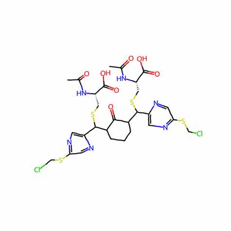 CC(=O)N[C@@H](CSC(c1cnc(SCCl)cn1)C1CCCC(C(SC[C@H](NC(C)=O)C(=O)O)c2cnc(SCCl)cn2)C1=O)C(=O)O